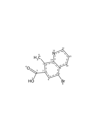 Cc1c(C(=O)O)cc(Br)c2cccnc12